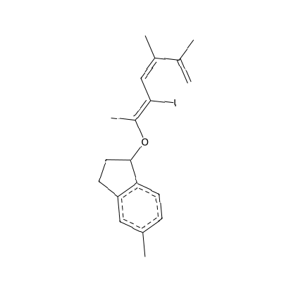 C=C(C)/C(C)=C\C(I)=C(/C)OC1CCc2cc(C)ccc21